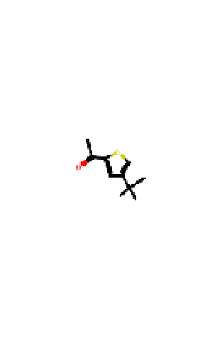 CC(=O)c1cc(C(C)(C)C)cs1